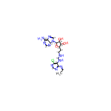 C/C=N\c1ncnc(Cl)c1NCNCCC1OC(n2cnc3c(N)ncnc32)C(O)C1O